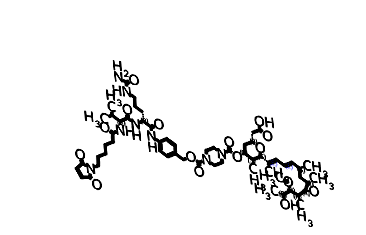 CO[C@H]([C@@H](C)[C@H]1O[C@]1(C)C[C@H](C)/C=C/C=C(\C)[C@H]1O[C@@H](CC(=O)O)C[C@@H](OC(=O)N2CCN(C(=O)OCc3ccc(NC(=O)[C@@H](CCCNC(N)=O)NC(=O)[C@@H](NC(=O)CCCCCN4C(=O)C=CC4=O)C(C)C)cc3)CC2)[C@@H]1C)[C@@H](C)O